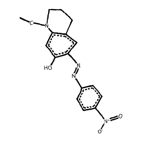 CCN1CCCc2cc(/N=N/c3ccc([N+](=O)[O-])cc3)c(O)cc21